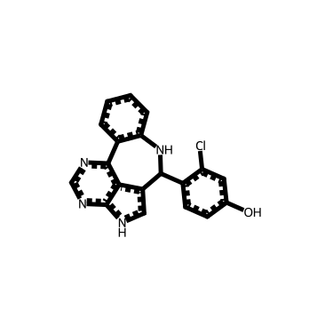 Oc1ccc(C2Nc3ccccc3-c3ncnc4[nH]cc2c34)c(Cl)c1